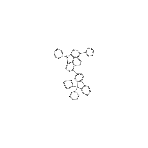 c1ccc(-c2ccc3c4c2ccc2c(-c5ccc6c(c5)C(c5ccccc5)(c5ccccc5)c5ccccc5-6)ccc(c24)n3-c2ccccc2)cc1